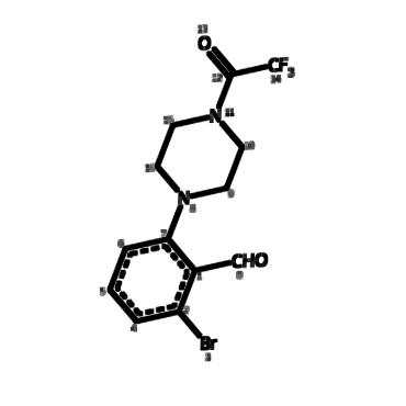 O=Cc1c(Br)cccc1N1CCN(C(=O)C(F)(F)F)CC1